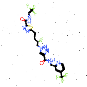 O=C(NCc1cc(C(F)(F)F)ccn1)c1cn(CC(F)CCc2nnc(C(=O)NCC(F)(F)F)s2)nn1